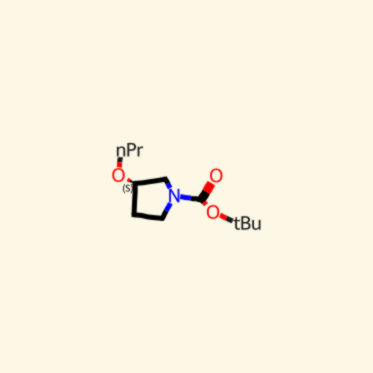 CCCO[C@H]1CCN(C(=O)OC(C)(C)C)C1